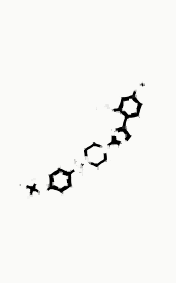 COc1ccc(-c2csc(N3CCN(S(=O)(=O)c4ccc(OC(F)(F)F)cc4)CC3)n2)c(OC)c1